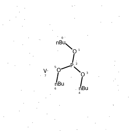 CCCCOP(OCCCC)OCCCC.[V]